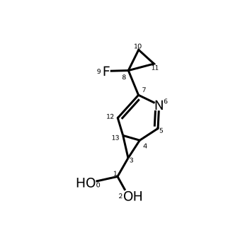 OC(O)C1C2C=NC(C3(F)CC3)=CC21